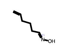 C=CCCC/C=N/O